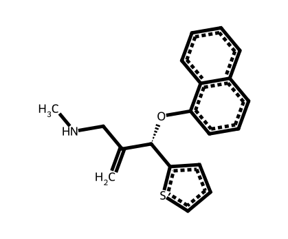 C=C(CNC)[C@H](Oc1cccc2ccccc12)c1cccs1